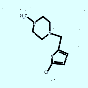 CN1CCN(Cc2ccc(Cl)s2)CC1